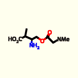 CNCC(=O)OC[C@@H](N)C(C)C(=O)O